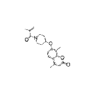 C=C(C)C(=O)N1CCC(Oc2ccc3c(C)cc(=O)oc3c2C)CC1